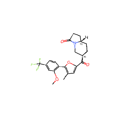 COc1cc(C(F)(F)F)ccc1-c1oc(C(=O)[C@@H]2CC[C@H]3CCC(=O)N3C2)cc1C